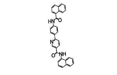 O=C(Nc1cccc2ccccc12)c1ccc(-c2ccc(NC(=O)c3cccc4ccccc34)cc2)nc1